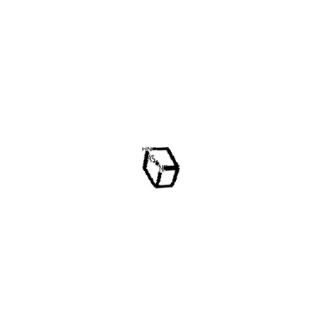 SN1C2CNCC1C2